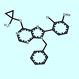 COc1cccc(-c2nc3c(OC4(C)CC4)ncnc3n2Cc2ccccc2)c1Cl